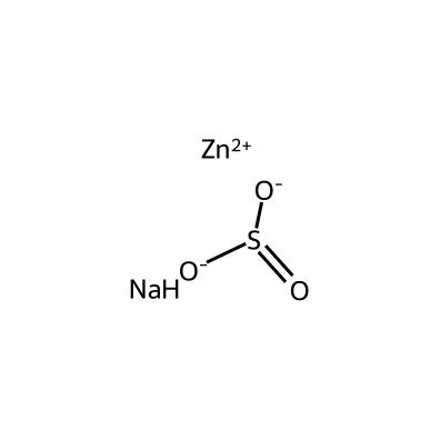 O=S([O-])[O-].[NaH].[Zn+2]